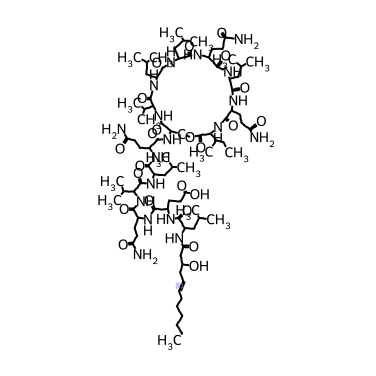 CCCCCC/C=C/CC(O)CC(=O)NC(CC(C)C)C(=O)NC(CCC(=O)O)C(=O)NC(CCC(N)=O)C(=O)NC(C(=O)NC(CC(C)C)C(=O)NC(CCC(N)=O)C(=O)NC1COC(=O)C(C(C)CC)NC(=O)C(CCC(N)=O)NC(=O)C(CC(C)C)NC(=O)C(CCC(N)=O)NC(=O)C(CC(C)C)NC(=O)C(CC(C)C)NC(=O)C(C(C)C)NC1=O)C(C)C